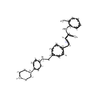 Nc1ccccc1NC(=O)/C=C/c1ccc(CNc2ccc(N3CCOCC3)cc2)cc1